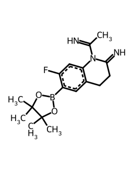 CC(=N)N1C(=N)CCc2cc(B3OC(C)(C)C(C)(C)O3)c(F)cc21